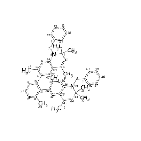 CC1=CC(C)(C)N(Cc2ccccc2)c2cc(C)c(-c3cccc(C)c3-c3cc4c(cc3C)N(Cc3ccccc3)C(C)(C)C=C4C)cc21